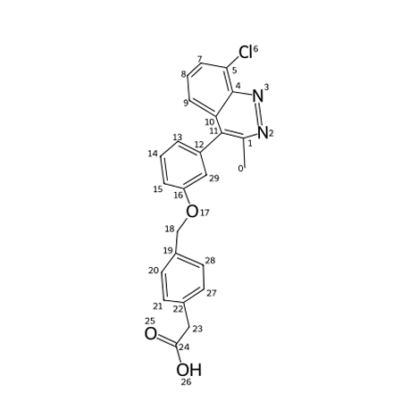 Cc1nnc2c(Cl)cccc2c1-c1cccc(OCc2ccc(CC(=O)O)cc2)c1